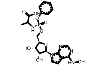 CC(N[P@](=O)(OC[C@H]1O[C@@H](n2ccc3c(NO)ncnc32)[C@H](O)[C@@H]1O)Oc1ccccc1)C(=O)O